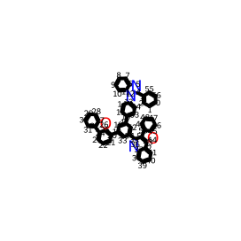 c1ccc(-c2nc3ccccc3n2-c2ccc(-c3cc(-c4cccc5c4oc4ccccc45)cc(-c4nc5ccccc5c5oc6ccccc6c45)c3)cc2)cc1